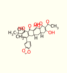 CC(=O)C1=C(O)C[C@@H]2C[C@@H]3Cc4c(-c5ccc6c(c5)OCO6)cc(C(C)(C)C)c(O)c4C(=O)C3=C(O)[C@]2(O)C1=O